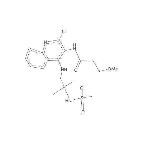 COCCC(=O)Nc1c(Cl)nc2ccccc2c1NCC(C)(C)NS(C)(=O)=O